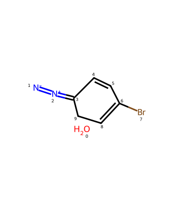 O.[N-]=[N+]=C1C=CC(Br)=CC1